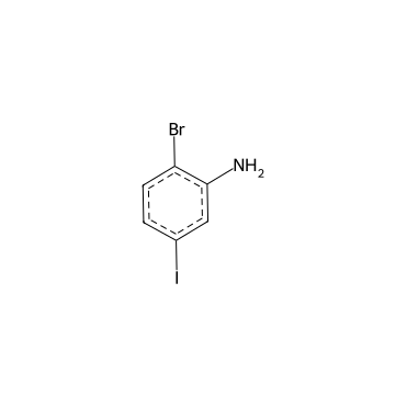 Nc1cc(I)ccc1Br